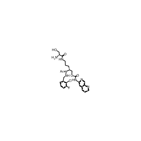 CC(=O)N(NCc1cccc(F)c1Cl)[C@@H](CCCNC(=O)[C@@H](N)CO)COC(=O)Nc1cc2cccnc2cn1